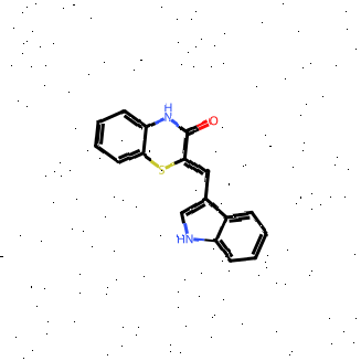 O=C1Nc2ccccc2SC1=Cc1c[nH]c2ccccc12